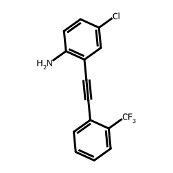 Nc1ccc(Cl)cc1C#Cc1ccccc1C(F)(F)F